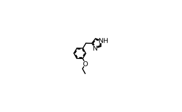 CCOc1cccc(Cc2c[nH]cn2)c1